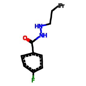 CC(C)CCNNC(=O)c1ccc(F)cc1